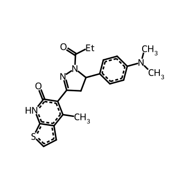 CCC(=O)N1N=C(c2c(C)c3ccsc3[nH]c2=O)CC1c1ccc(N(C)C)cc1